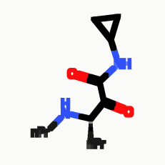 CCCN[C@@H](CCC)C(=O)C(=O)NC1CC1